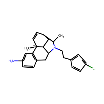 CC1C2C=C[C@@]3(C)c4cc(N)ccc4CC(C3C2)N1CCc1ccc(Cl)cc1